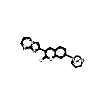 O=c1oc2cc(N3CCN4CCC3CC4)ccc2cc1-c1cn2cccnc2n1